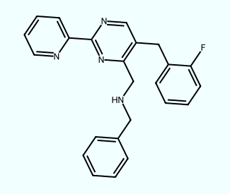 Fc1ccccc1Cc1cnc(-c2ccccn2)nc1CNCc1ccccc1